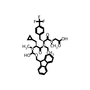 CCN(C(=O)[C@H](CC1CC1)N(C)C(O)OCC1c2ccccc2-c2ccccc21)[C@@H](Cc1ccc(C(F)(F)F)cc1)C(=O)N(C)CC(=O)O